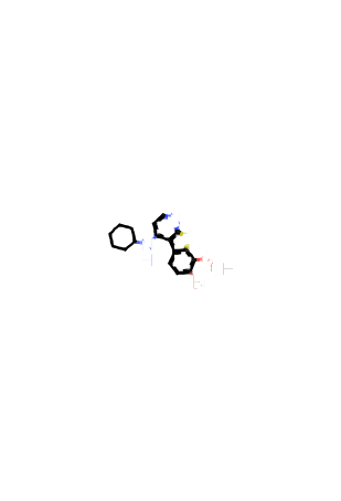 COc1c(Br)ccc2c1sc1nccc(NC3CCCCC3)c12